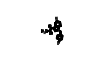 NC(=O)C(=O)c1cn(Cc2ccc(F)cc2)c2ccc(F)cc12